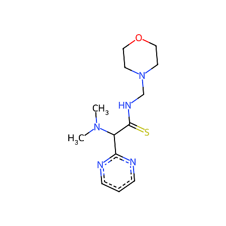 CN(C)C(C(=S)NCN1CCOCC1)c1ncccn1